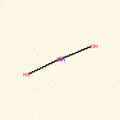 OCCCCCCCCCCCCCCCCCCCCONOCCCCCCCCCCCCCCCCCCCCO